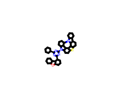 c1ccc(-c2nc(-c3cccc4oc5ccccc5c34)nc(-n3c4ccc5sc6ccc7c8ccccc8n8c9cccc3c9c4c5c6c78)n2)cc1